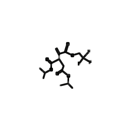 C=C(C(=O)OCC(F)(F)F)C(CC(=O)OC(C)C)C(=O)OC(C)C